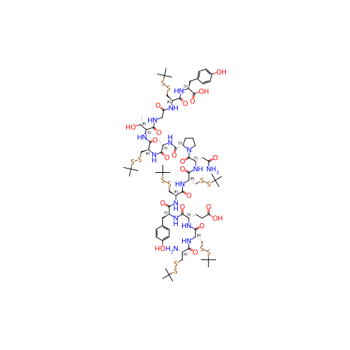 C[C@H](NC(=O)[C@@H]1CCCN1C(=O)[C@H](CC(N)=O)NC(=O)[C@H](CSSC(C)(C)C)NC(=O)[C@H](CSSC(C)(C)C)NC(=O)[C@H](Cc1ccc(O)cc1)NC(=O)[C@H](CCC(=O)O)NC(=O)[C@H](CSSC(C)(C)C)NC(=O)[C@@H](N)CSSC(C)(C)C)C(=O)N[C@@H](CSSC(C)(C)C)C(=O)N[C@H](C(=O)NCC(=O)N[C@@H](CSSC(C)(C)C)C(=O)N[C@@H](Cc1ccc(O)cc1)C(=O)O)[C@@H](C)O